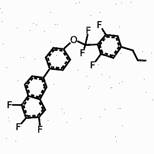 CCCc1cc(F)c(C(F)(F)Oc2ccc(-c3ccc4c(F)c(F)c(F)cc4c3)cc2)c(F)c1